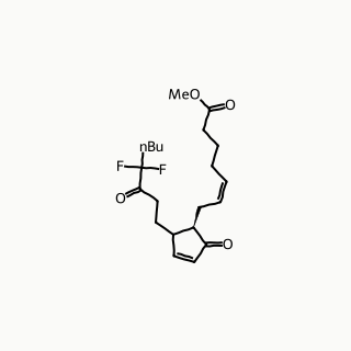 CCCCC(F)(F)C(=O)CCC1C=CC(=O)[C@@H]1C/C=C\CCCC(=O)OC